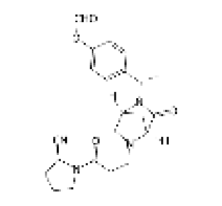 C[C@@H](CN1C[C@@H]2C[C@H]1C(=O)N2[C@@H](C)c1ccc(OC=O)cc1)C(=O)N1CCC[C@H]1C#N